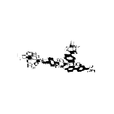 CC(C)(C)OC(=O)NCC1CCC(C(=O)N[C@@H](Cc2ccc(-c3ccc(C(=O)O)cc3Cl)cc2)C(=O)Nc2ccc(-c3nn[nH]n3)cc2)CC1